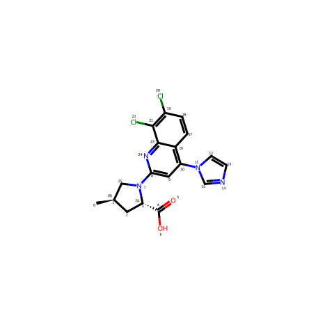 C[C@@H]1C[C@@H](C(=O)O)N(c2cc(-n3ccnc3)c3ccc(Cl)c(Cl)c3n2)C1